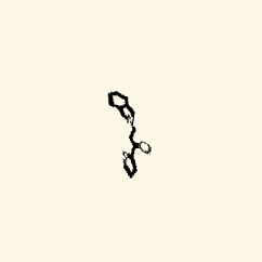 O=C(CCn1cc2ccccc2c1)c1cccs1